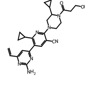 C=Cc1cc(-c2cc(C#N)c(N3CCN(C(=O)CCO)C(C4CC4)C3)nc2C2CC2)nc(N)n1